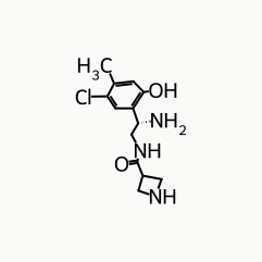 Cc1cc(O)c([C@H](N)CNC(=O)C2CNC2)cc1Cl